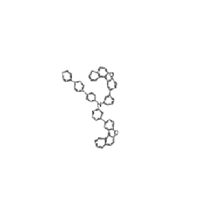 c1ccc(-c2ccc(-c3ccc(N(c4cccc(-c5ccc6oc7ccc8ccccc8c7c6c5)c4)c4cccc(-c5ccc6oc7ccc8ccccc8c7c6c5)c4)cc3)cc2)cc1